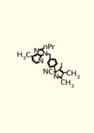 CCCc1nc2c(C)ccnc2n1Cc1ccc(C2(C#N)N=C(C)C(C)=C2I)cc1